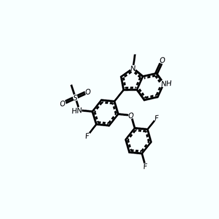 Cn1cc(-c2cc(NS(C)(=O)=O)c(F)cc2Oc2ccc(F)cc2F)c2cc[nH]c(=O)c21